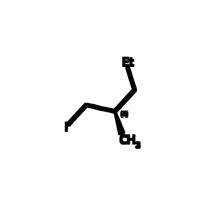 CCC[C@@H](C)CI